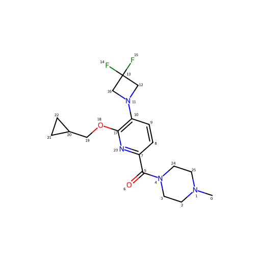 CN1CCN(C(=O)c2ccc(N3CC(F)(F)C3)c(OCC3CC3)n2)CC1